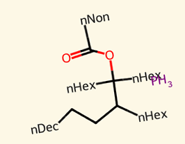 CCCCCCCCCCCCC(CCCCCC)C(CCCCCC)(CCCCCC)OC(=O)CCCCCCCCC.P